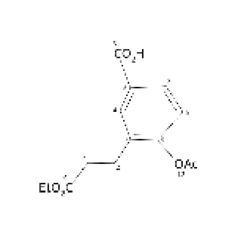 CCOC(=O)CCc1cc(C(=O)O)ccc1OC(C)=O